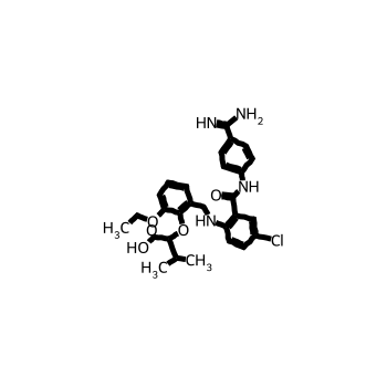 CCOc1cccc(CNc2ccc(Cl)cc2C(=O)Nc2ccc(C(=N)N)cc2)c1OC(C(=O)O)C(C)C